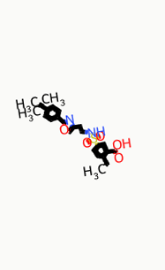 CCc1ccc(S(=O)(=O)NCCc2coc(-c3ccc(C(C)(C)C)cc3)n2)cc1C(=O)O